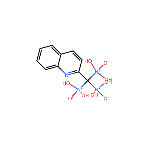 [O-][N+](O)(O)C(c1ccc2ccccc2n1)([N+]([O-])(O)O)[N+]([O-])(O)O